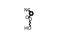 N#Cc1cccc(C(=O)OCCCCO)c1